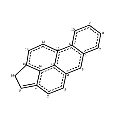 C1=c2ccc3cc4ccccc4c4ccc(c2c34)C1